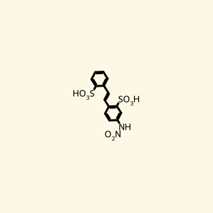 O=[N+]([O-])Nc1ccc(C=Cc2ccccc2S(=O)(=O)O)c(S(=O)(=O)O)c1